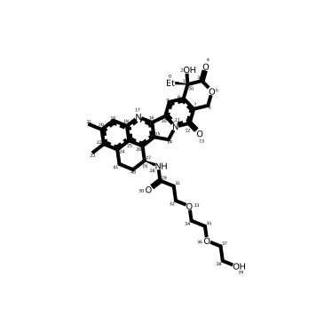 CC[C@@]1(O)C(=O)OCc2c1cc1n(c2=O)Cc2c-1nc1cc(C)c(C)c3c1c2[C@@H](NC(=O)CCOCCOCCO)CC3